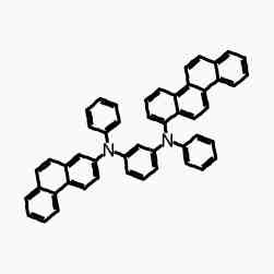 c1ccc(N(c2cccc(N(c3ccccc3)c3cccc4c3ccc3c5ccccc5ccc43)c2)c2ccc3c(ccc4ccccc43)c2)cc1